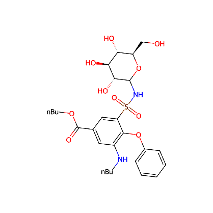 CCCCNc1cc(C(=O)OCCCC)cc(S(=O)(=O)NC2O[C@H](CO)[C@@H](O)[C@H](O)[C@H]2O)c1Oc1ccccc1